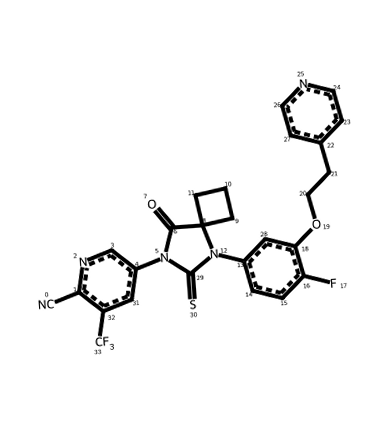 N#Cc1ncc(N2C(=O)C3(CCC3)N(c3ccc(F)c(OCCc4ccncc4)c3)C2=S)cc1C(F)(F)F